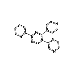 c1ccc(-c2ncc(-c3cnccn3)c(-c3ccncc3)n2)nc1